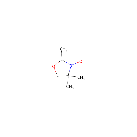 CC1OCC(C)(C)N1[O]